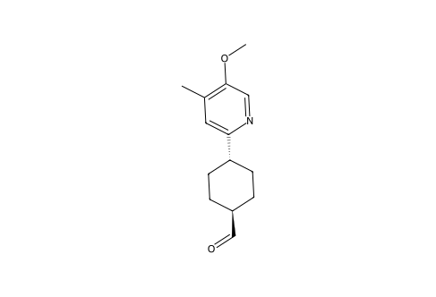 COc1cnc([C@H]2CC[C@H](C=O)CC2)cc1C